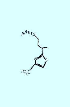 COCCC(C)c1nc(C(=O)O)cs1